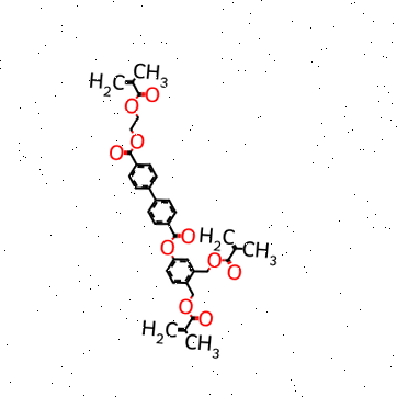 C=C(C)C(=O)OCCOC(=O)c1ccc(-c2ccc(C(=O)Oc3ccc(COC(=O)C(=C)C)c(COC(=O)C(=C)C)c3)cc2)cc1